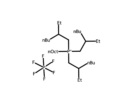 CCCCCCCC[P+](CC(CC)CCCC)(CC(CC)CCCC)CC(CC)CCCC.F[P-](F)(F)(F)(F)F